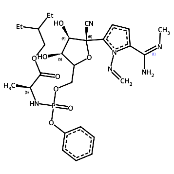 C=Nn1c(/C(N)=N\C)ccc1[C@]1(C#N)OC(COP(=O)(N[C@@H](C)C(=O)OCC(CC)CC)Oc2ccccc2)[C@@H](O)[C@H]1O